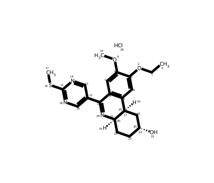 CCOc1cc2c(cc1OC)C(c1cnc(SC)nc1)=N[C@@H]1CC[C@@H](O)C[C@H]21.Cl